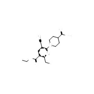 CCOC(=O)c1cc(C#N)c(N2CCC(C(=O)O)CC2)nc1CF